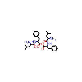 CC(C)CC(N)C(=O)NC(Cc1ccccc1)C(=O)OC(=O)C(Cc1ccccc1)NC(=O)C(N)CC(C)C